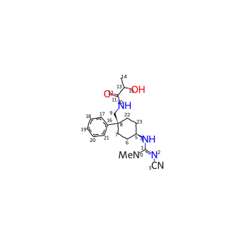 CN/C(=N\C#N)N[C@H]1CC[C@](CNC(=O)C(C)O)(c2ccccc2)CC1